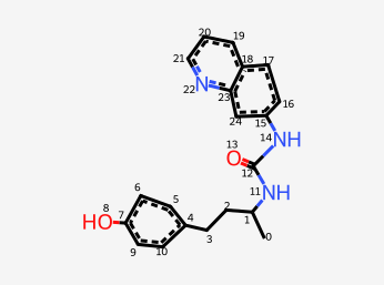 CC(CCc1ccc(O)cc1)NC(=O)Nc1ccc2cccnc2c1